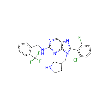 Fc1cccc(Cl)c1-c1nc2cnc(NCc3ccccc3C(F)(F)F)nc2n1CC1CCNC1